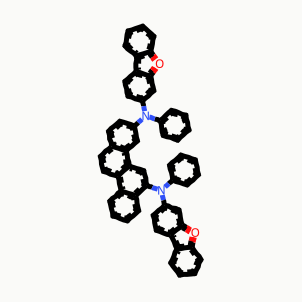 c1ccc(N(c2ccc3c(c2)oc2ccccc23)c2ccc3ccc4c5ccccc5c(N(c5ccccc5)c5ccc6c(c5)oc5ccccc56)cc4c3c2)cc1